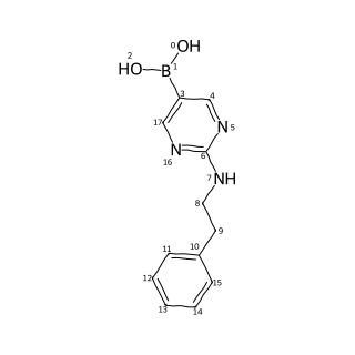 OB(O)c1cnc(NCCc2ccccc2)nc1